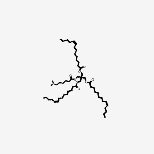 CCCC/C=C\CCCCCCCC(=O)OCC(COC(=O)CCCCCCC/C=C\CCCC)(COC(=O)CCCCCCC/C=C\CCCC)COC(=O)CCCCCN(C)C